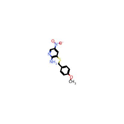 COc1ccc(CSc2cc([N+](=O)[O-])cnc2N)cc1